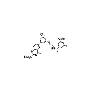 CCOC(=O)c1nc(C)c2cc(-c3cc(OCCNC(C)c4cc(F)cc(OC)c4)cc(C(F)(F)F)c3)ccc2n1